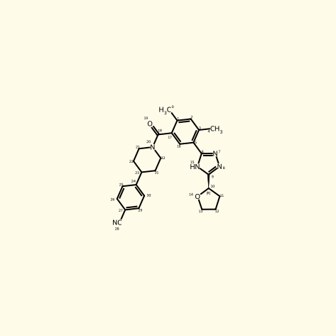 Cc1cc(C)c(-c2nnc([C@H]3CCCO3)[nH]2)cc1C(=O)N1CCC(c2ccc(C#N)cc2)CC1